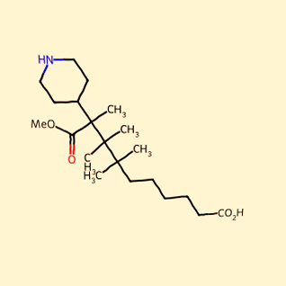 COC(=O)C(C)(C1CCNCC1)C(C)(C)C(C)(C)CCCCCC(=O)O